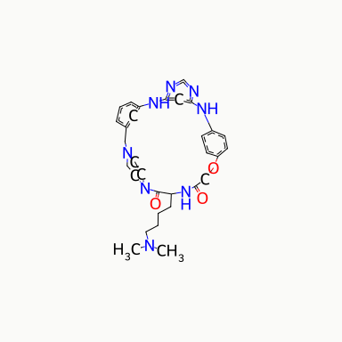 CN(C)CCCCC1NC(=O)COc2ccc(cc2)Nc2cc(ncn2)Nc2cccc(c2)CN2CCN(CC2)C1=O